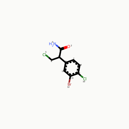 NC(=O)C(CCl)c1ccc(Cl)c(Br)c1